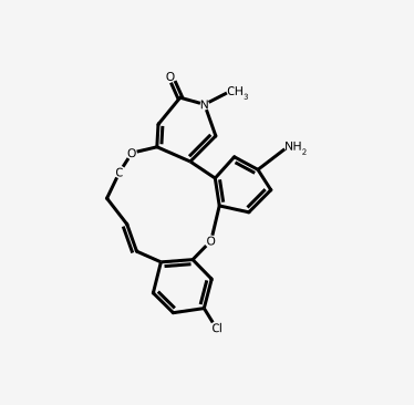 Cn1cc2c(cc1=O)OCC/C=C/c1ccc(Cl)cc1Oc1ccc(N)cc1-2